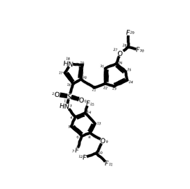 O=S(=O)(Nc1cc(F)c(OC(F)F)cc1F)c1c[nH]cc1Cc1cccc(OC(F)F)c1